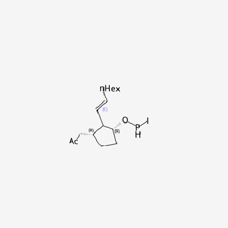 CCCCCC/C=C/C1[C@@H](CC(C)=O)CC[C@H]1OPI